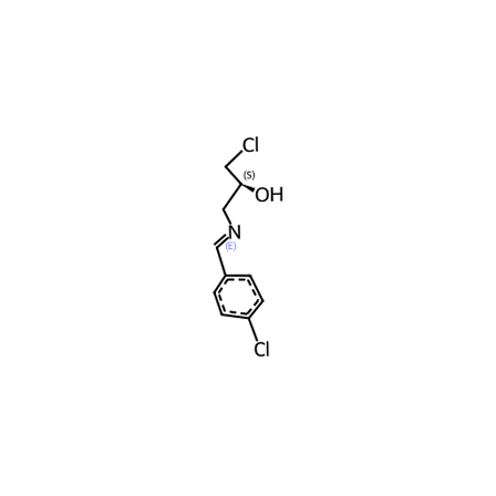 O[C@H](CCl)C/N=C/c1ccc(Cl)cc1